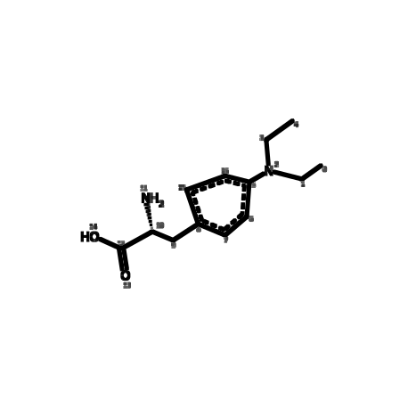 CCN(CC)c1ccc(C[C@@H](N)C(=O)O)cc1